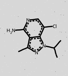 Cc1nn(C(C)C)c2c(Cl)cnc(N)c12